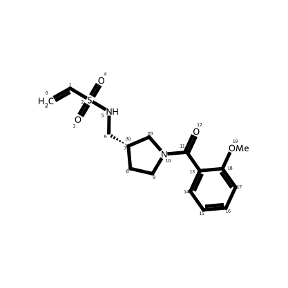 C=CS(=O)(=O)NC[C@H]1CCN(C(=O)c2ccccc2OC)C1